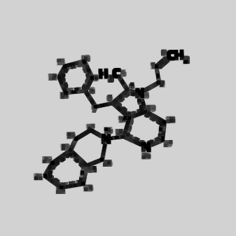 C=CCn1c(C)c(Cc2ccccc2)c2c(N3CCc4ccccc4C3)nccc21